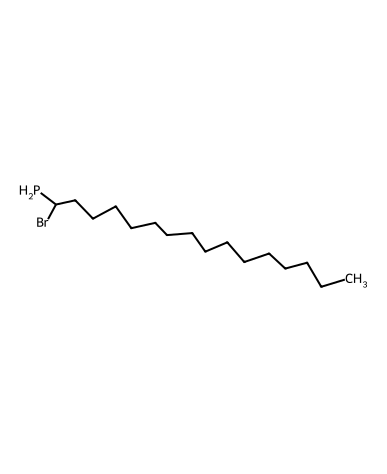 CCCCCCCCCCCCCCCC(P)Br